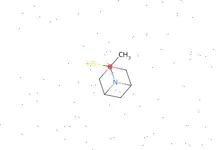 CC(S)N1C2COCC1C2